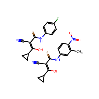 Cc1cc(NC(=S)C(C#N)=C(O)C2CC2)ccc1[N+](=O)[O-].N#CC(C(=S)Nc1ccc(F)cc1)=C(O)C1CC1